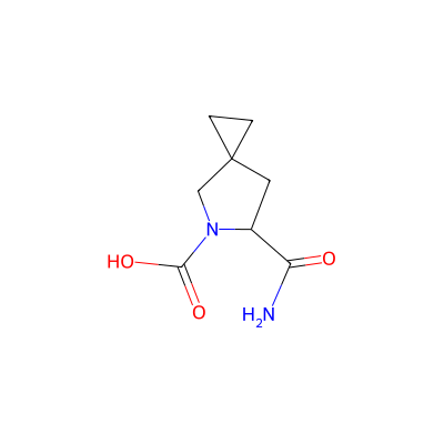 NC(=O)C1CC2(CC2)CN1C(=O)O